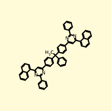 CC(c1ccccc1)(c1ccc(-c2cc(-c3cccc4ccccc34)nc(-c3ccccc3)n2)cc1)c1ccc(-c2cc(-c3cccc4ccccc34)nc(-c3ccccc3)n2)cc1